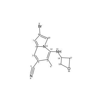 Cc1c(C#N)cc2cc(Br)cn2c1NC1COC1